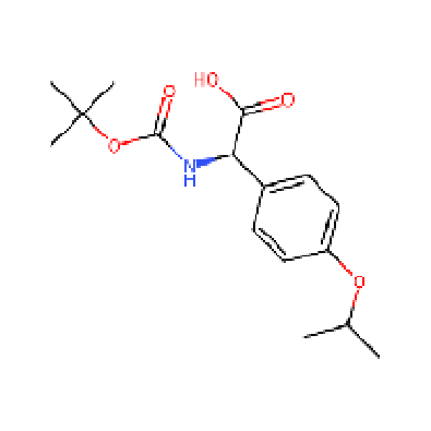 CC(C)Oc1ccc([C@@H](NC(=O)OC(C)(C)C)C(=O)O)cc1